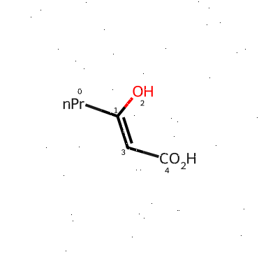 CCCC(O)=CC(=O)O